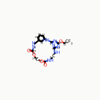 O=C1NCCNc2nc(nc(OCC(F)(F)F)n2)Nc2cccc(c2)CNC(=O)OCCO1